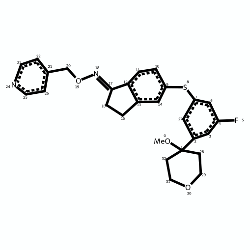 COC1(c2cc(F)cc(Sc3ccc4c(c3)CC/C4=N\OCc3ccncc3)c2)CCOCC1